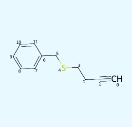 C#CCCSCc1ccccc1